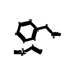 C=CC(=O)OCC.CNCc1ccccc1